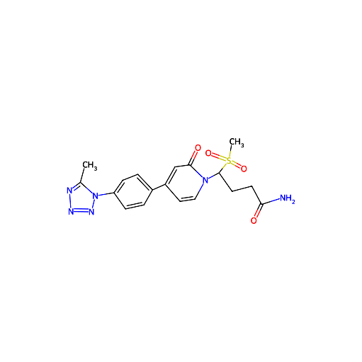 Cc1nnnn1-c1ccc(-c2ccn(C(CCC(N)=O)S(C)(=O)=O)c(=O)c2)cc1